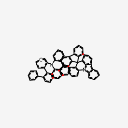 c1ccc(-c2ccccc2-c2ccccc2N(c2ccccc2-c2ccccc2)c2ccccc2-c2ccc3c(c2)C2(c4ccccc4-3)c3ccccc3-n3c4ccccc4c4cccc2c43)cc1